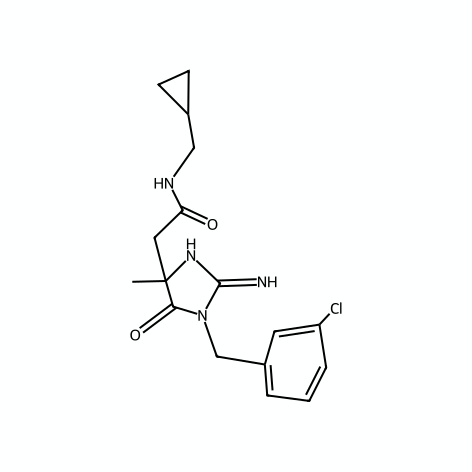 CC1(CC(=O)NCC2CC2)NC(=N)N(Cc2cccc(Cl)c2)C1=O